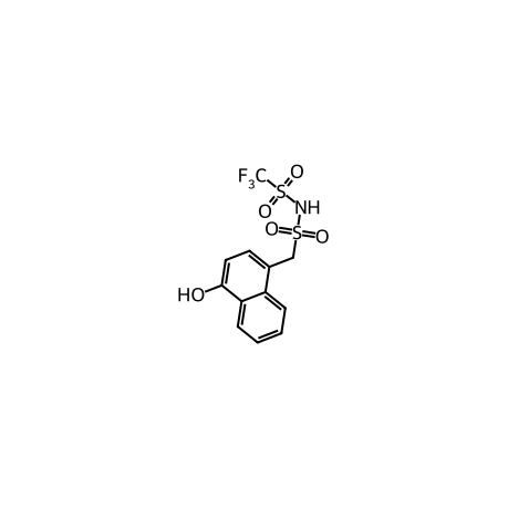 O=S(=O)(Cc1ccc(O)c2ccccc12)NS(=O)(=O)C(F)(F)F